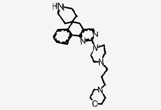 c1ccc2c(c1)-c1nc(N3CCN(CCCN4CCOCC4)CC3)ncc1CC21CCNCC1